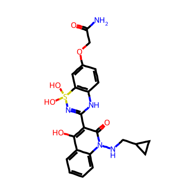 NC(=O)COc1ccc2c(c1)S(O)(O)N=C(c1c(O)c3ccccc3n(NCC3CC3)c1=O)N2